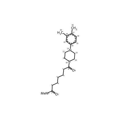 CNC(=O)CCCCCC(=O)N1CCN(c2ccc(C)c(C)c2)CC1